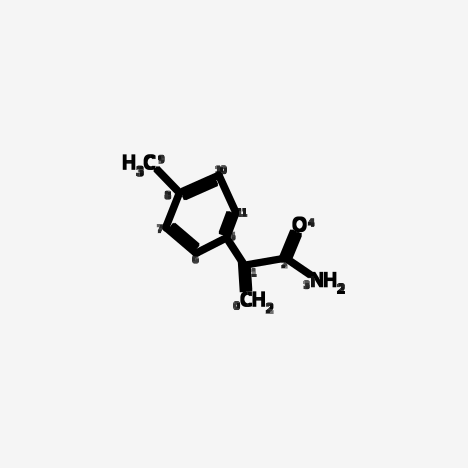 C=C(C(N)=O)c1ccc(C)cc1